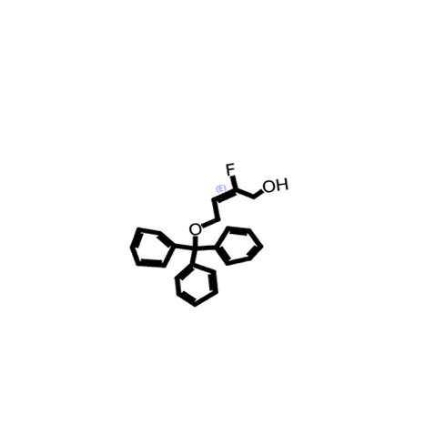 OC/C(F)=C\COC(c1ccccc1)(c1ccccc1)c1ccccc1